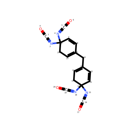 O=C=NC1(N=C=O)C=CC(CC2=CCC(N=C=O)(N=C=O)C=C2)=CC1